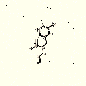 C=CC[C@@H](Cc1cncc(Br)c1)NC